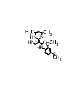 COc1ccc(NC(=O)/C(C=N)=C2\N=C(C)C=C(C)N2)c(OC)c1